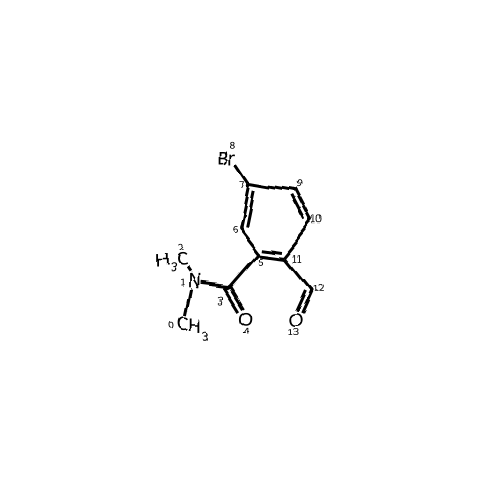 CN(C)C(=O)c1cc(Br)ccc1C=O